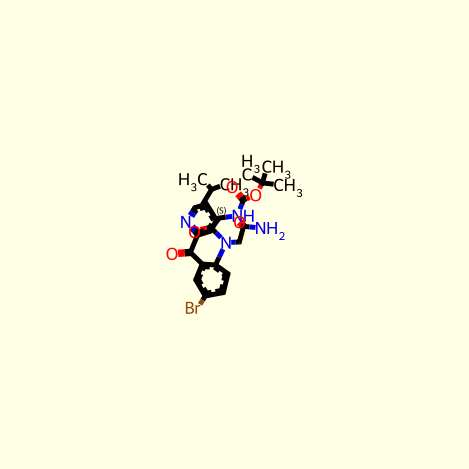 CC(C)C[C@H](NC(=O)OC(C)(C)C)C(=O)N(CC(N)=O)c1ccc(Br)cc1C(=O)c1ccccn1